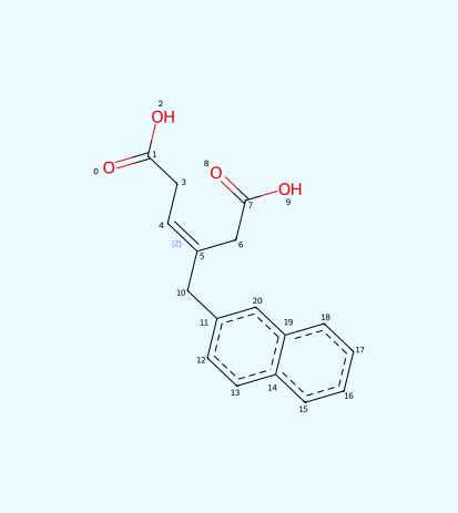 O=C(O)C/C=C(\CC(=O)O)Cc1ccc2ccccc2c1